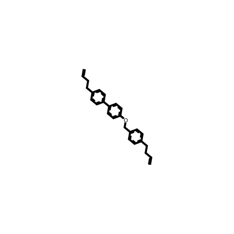 C=CCCc1ccc(COc2ccc(-c3ccc(CCC=C)cc3)cc2)cc1